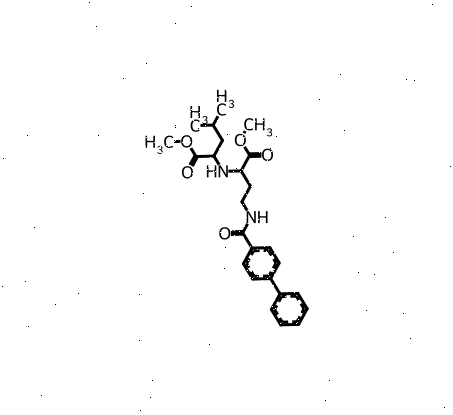 COC(=O)C(CCNC(=O)c1ccc(-c2ccccc2)cc1)NC(CC(C)C)C(=O)OC